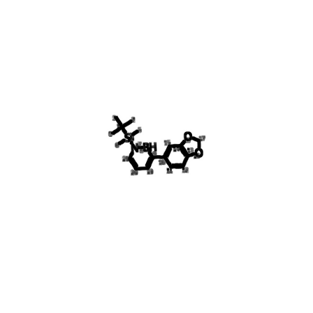 CC(C)(C)[Si](C)(C)N1BC(c2ccc3c(c2)OCO3)=CC=C1